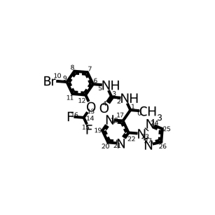 CC(NC(=O)Nc1ccc(Br)cc1OC(F)F)c1nccnc1-n1nccn1